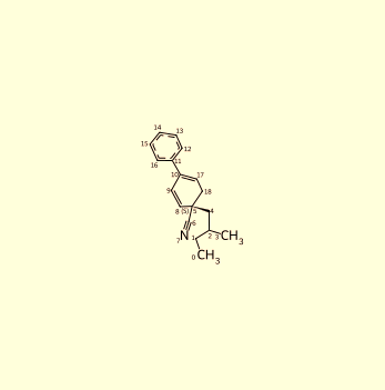 CCC(C)C[C@@]1(C#N)C=CC(c2ccccc2)=CC1